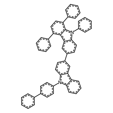 c1ccc(-c2ccc(-n3c4ccccc4c4cc(-c5ccc6c(c5)c5c(-c7ccccc7)ccc(-c7ccccc7)c5n6-c5ccccc5)ccc43)cc2)cc1